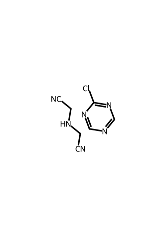 Clc1ncncn1.N#CCNCC#N